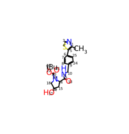 Cc1ncsc1-c1ccc(CNC(=O)C2C[C@H](O)CN2C(=O)OC(C)(C)C)cc1